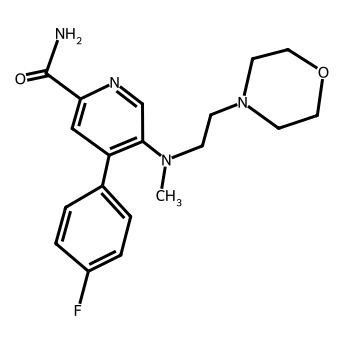 CN(CCN1CCOCC1)c1cnc(C(N)=O)cc1-c1ccc(F)cc1